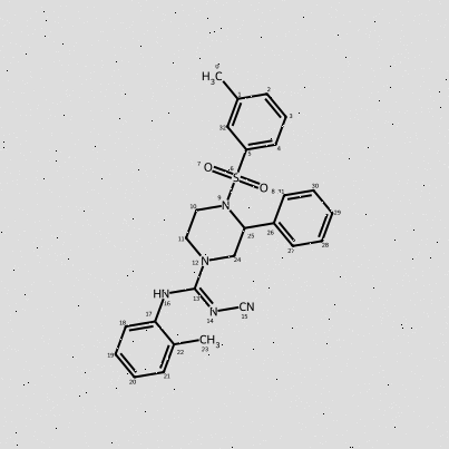 Cc1cccc(S(=O)(=O)N2CCN(/C(=N\C#N)Nc3ccccc3C)CC2c2ccccc2)c1